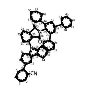 N#Cc1ccccc1-c1ccc2c(c1)c1ccccc1n2-c1cccc2c1C(=O)N(c1c(-c3ccccc3)cc(-c3ccccc3)cc1-c1ccccc1)C2=O